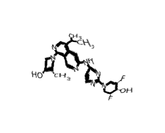 CC(C)c1cnc(N2C[C@H](O)[C@H]2C)c2cnc(Nc3ccnc(N4C[C@@H](F)[C@@H](O)[C@@H](F)C4)n3)cc12